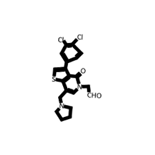 O=CCn1cc(CN2CCCC2)c2scc(-c3ccc(Cl)c(Cl)c3)c2c1=O